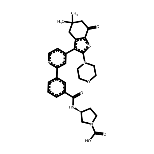 CC1(C)CC(=O)c2sc(N3CCOCC3)c(-c3ccnc(-c4cccc(C(=O)N[C@H]5CCN(C(=O)O)C5)c4)c3)c2C1